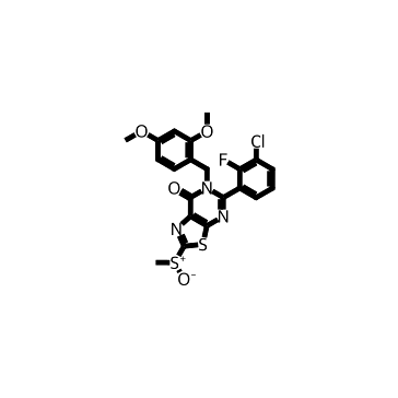 COc1ccc(Cn2c(-c3cccc(Cl)c3F)nc3sc([S+](C)[O-])nc3c2=O)c(OC)c1